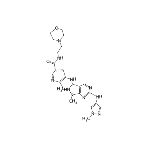 Cc1ncc(C(=O)NCCN2CCOCC2)cc1NC1NN(C)c2nc(Nc3cnn(C)c3)ncc21